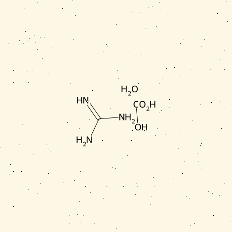 N=C(N)N.O.O=C(O)O